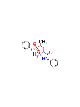 CC(CC(N)C(=O)Nc1ccccc1)S(=O)(=O)Oc1ccccc1